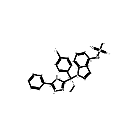 CC[C@@](c1ccc(Cl)cc1)(c1nnc(-c2ccccc2)[nH]1)n1ccc2c(NS(C)(=O)=O)cccc21